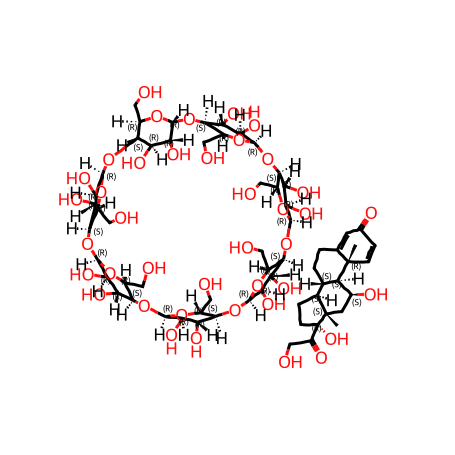 C[C@]12C=CC(=O)C=C1CC[C@@H]1[C@@H]2[C@@H](O)C[C@@]2(C)[C@H]1CC[C@]2(O)C(=O)CO.OC[C@H]1O[C@@H]2O[C@H]3[C@H](O)[C@@H](O)[C@@H](O[C@H]4[C@H](O)[C@@H](O)[C@@H](O[C@H]5[C@H](O)[C@@H](O)[C@@H](O[C@H]6[C@H](O)[C@@H](O)[C@@H](O[C@H]7[C@H](O)[C@@H](O)[C@@H](O[C@H]8[C@H](O)[C@@H](O)[C@@H](O[C@H]1[C@H](O)[C@H]2O)O[C@@H]8CO)O[C@@H]7CO)O[C@@H]6CO)O[C@@H]5CO)O[C@@H]4CO)O[C@@H]3CO